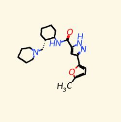 Cc1ccc(-c2cc(C(=O)N[C@@H]3CCCC[C@H]3CN3CCCCC3)[nH]n2)o1